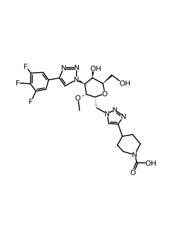 CO[C@@H]1[C@@H](n2cc(-c3cc(F)c(F)c(F)c3)nn2)[C@@H](O)[C@@H](CO)O[C@@H]1Cn1cc(C2CCN(C(=O)O)CC2)nn1